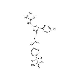 CCC(CC)(c1ccc(NC(=O)CCc2sc(NC(=O)NC(C)(C)C)nc2-c2ccc(Cl)cc2)cc1)P(=O)(O)O